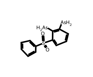 O=S(=O)(c1ccccc1)c1cccc([AsH2])c1[AsH2]